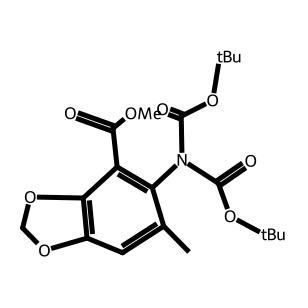 COC(=O)c1c2c(cc(C)c1N(C(=O)OC(C)(C)C)C(=O)OC(C)(C)C)OCO2